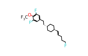 FCCCC=C[C@H]1CC[C@H](CCc2cc(F)c(OC(F)(F)F)c(F)c2)CC1